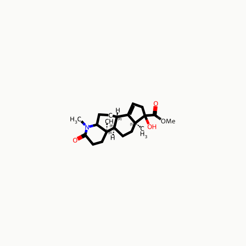 COC(=O)C1(O)CC=C2[C@@H]3CCC4N(C)C(=O)CC[C@]4(C)[C@@H]3CC[C@@]21C